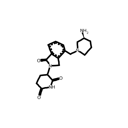 N[C@H]1CCCN(Cc2cccc3c2CN(C2CCC(=O)NC2=O)C3=O)C1